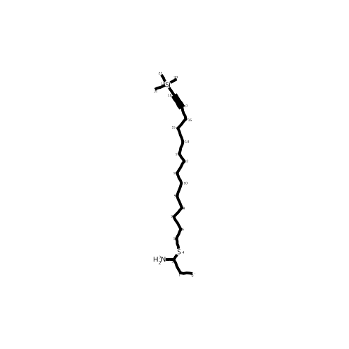 [CH2]CC(N)SCCCCCCCCCCCCC#C[Si](C)(C)C